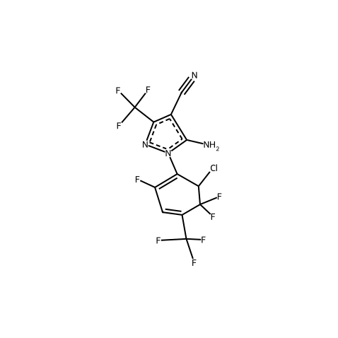 N#Cc1c(C(F)(F)F)nn(C2=C(F)C=C(C(F)(F)F)C(F)(F)C2Cl)c1N